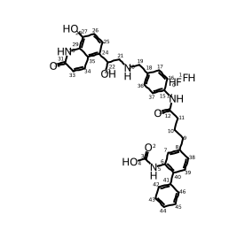 F.F.O=C(O)Nc1cc(CCCC(=O)Nc2ccc(CNCC(O)c3ccc(O)c4[nH]c(=O)ccc34)cc2)ccc1-c1ccccc1